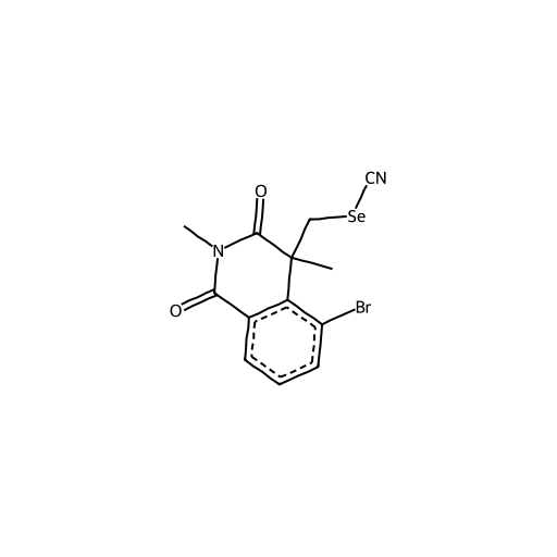 CN1C(=O)c2cccc(Br)c2C(C)(C[Se]C#N)C1=O